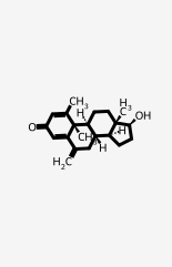 C=C1C[C@@H]2[C@H](CC[C@]3(C)[C@@H](O)CC[C@@H]23)[C@@]2(C)C(C)=CC(=O)C=C12